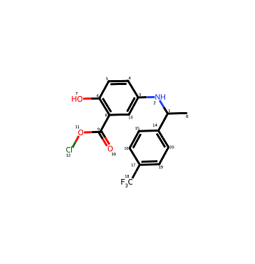 CC(Nc1ccc(O)c(C(=O)OCl)c1)c1ccc(C(F)(F)F)cc1